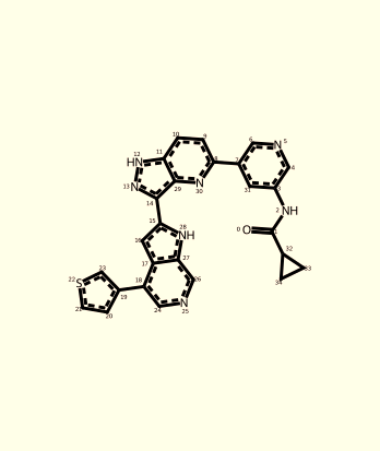 O=C(Nc1cncc(-c2ccc3[nH]nc(-c4cc5c(-c6ccsc6)cncc5[nH]4)c3n2)c1)C1CC1